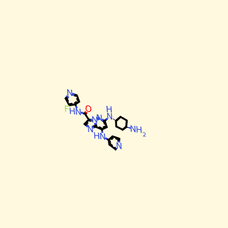 N[C@H]1CC[C@H](Nc2cc(Nc3ccncc3)c3ncc(C(=O)Nc4ccncc4F)n3n2)CC1